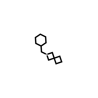 [CH]1CC2(C1)CN(CC1CCCCC1)C2